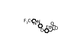 CCN1C(=O)COCC1Cc1ccc(Oc2ccc(N(C)c3ccc(C(F)(F)F)cn3)cc2)cc1